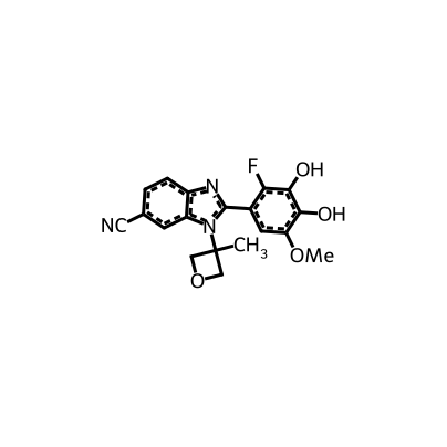 COc1cc(-c2nc3ccc(C#N)cc3n2C2(C)COC2)c(F)c(O)c1O